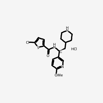 COc1ccc([C@H](CC2CCNCC2)NC(=O)c2ccc(Cl)s2)cn1.Cl